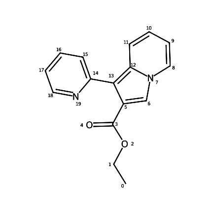 CCOC(=O)c1cn2ccccc2c1-c1ccccn1